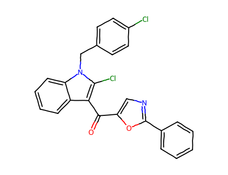 O=C(c1cnc(-c2ccccc2)o1)c1c(Cl)n(Cc2ccc(Cl)cc2)c2ccccc12